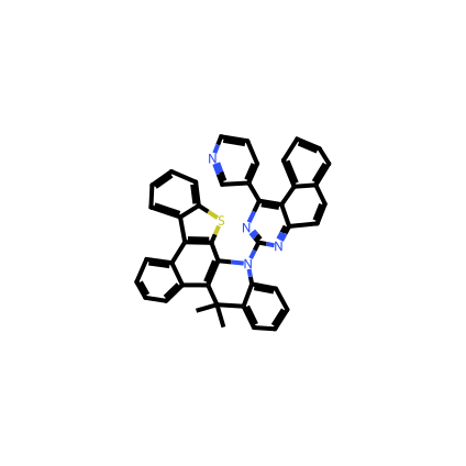 CC1(C)c2ccccc2N(c2nc(-c3cccnc3)c3c(ccc4ccccc43)n2)c2c1c1ccccc1c1c2sc2ccccc21